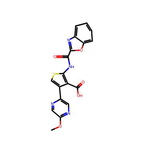 COc1cnc(-c2csc(NC(=O)c3nc4ccccc4o3)c2C(=O)O)cn1